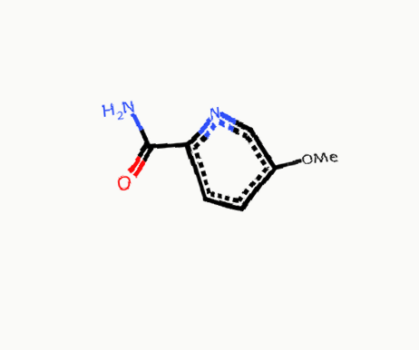 COc1ccc(C(N)=O)nc1